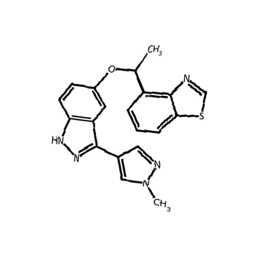 CC(Oc1ccc2[nH]nc(-c3cnn(C)c3)c2c1)c1cccc2scnc12